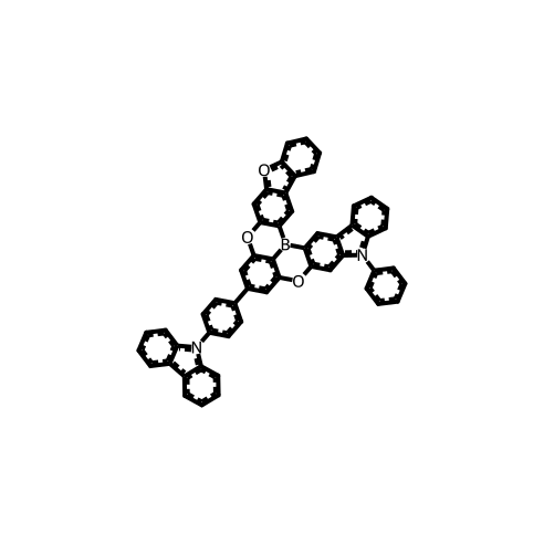 c1ccc(-n2c3ccccc3c3cc4c(cc32)Oc2cc(-c3ccc(-n5c6ccccc6c6ccccc65)cc3)cc3c2B4c2cc4c(cc2O3)oc2ccccc24)cc1